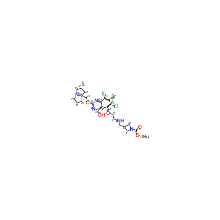 CC(C)(C)OC(=O)N1CC(CNCCOc2c(Cl)c(Br)c(F)c3nc(OC[C@@]45CCCN4C[C@H](F)C5)nc(O)c23)C1